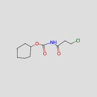 O=C(CCCl)NC(=O)OC1CCCCC1